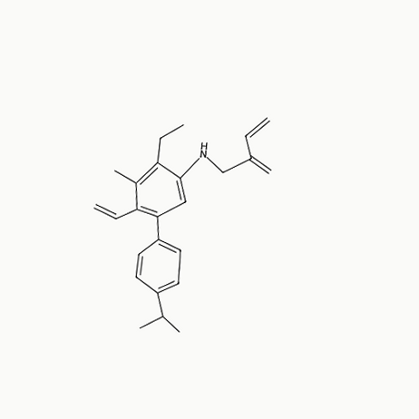 C=CC(=C)CNc1cc(-c2ccc(C(C)C)cc2)c(C=C)c(C)c1CC